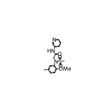 COc1ccc(C)cc1N(CC(=O)Nc1cccnc1)S(C)(=O)=O